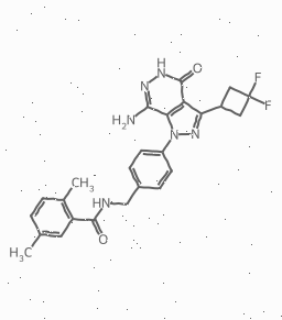 Cc1ccc(C)c(C(=O)NCc2ccc(-n3nc(C4CC(F)(F)C4)c4c(=O)[nH]nc(N)c43)cc2)c1